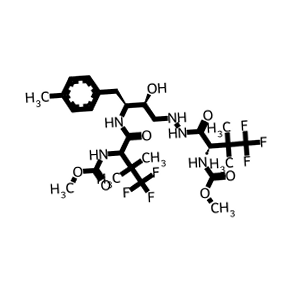 COC(=O)NC(C(=O)N[C@@H](Cc1ccc(C)cc1)[C@@H](O)CNNC(=O)[C@@H](NC(=O)OC)C(C)(C)C(F)(F)F)C(C)(C)C(F)(F)F